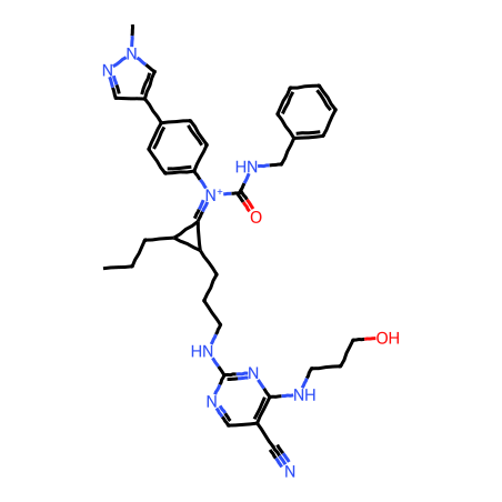 CCCC1/C(=[N+](/C(=O)NCc2ccccc2)c2ccc(-c3cnn(C)c3)cc2)C1CCCNc1ncc(C#N)c(NCCCO)n1